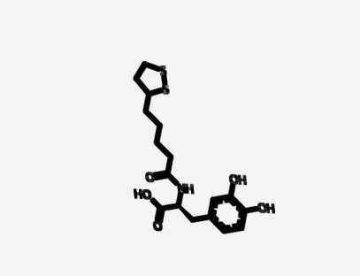 O=C(CCCCC1CCSS1)N[C@@H](Cc1ccc(O)c(O)c1)C(=O)O